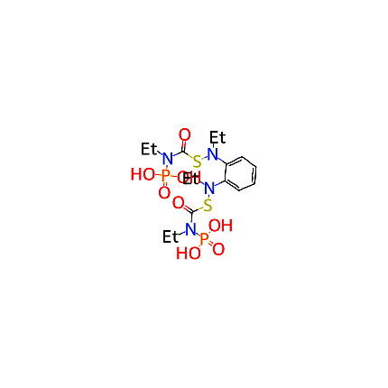 CCN(SC(=O)N(CC)P(=O)(O)O)c1ccccc1N(CC)SC(=O)N(CC)P(=O)(O)O